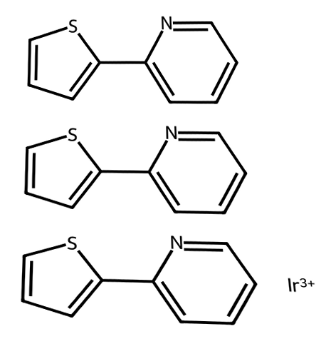 [Ir+3].c1ccc(-c2cccs2)nc1.c1ccc(-c2cccs2)nc1.c1ccc(-c2cccs2)nc1